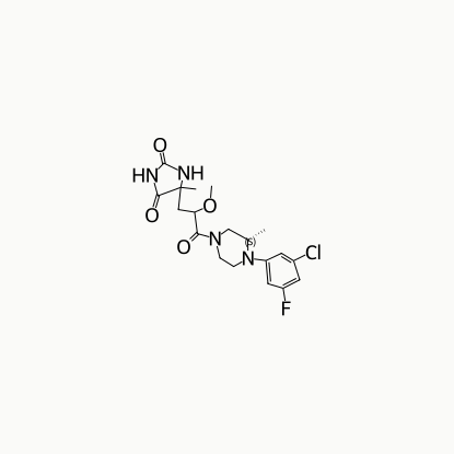 COC(CC1(C)NC(=O)NC1=O)C(=O)N1CCN(c2cc(F)cc(Cl)c2)[C@@H](C)C1